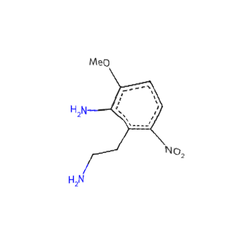 COc1ccc([N+](=O)[O-])c(CCN)c1N